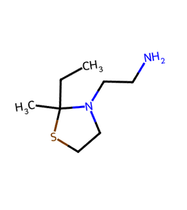 CCC1(C)SCCN1CCN